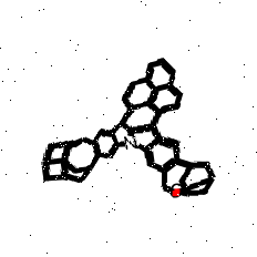 c1cc2ccc3c4c(ccc(c1)c24)c1c2cc4c(cc2n2c5cc6c(cc5c3c12)C1CC2CC(C1)CC6C2)C1CC2CC3CC4CC32C1